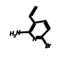 C=Cc1ccc(Br)nc1N